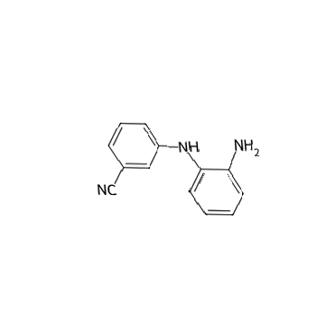 N#Cc1cccc(Nc2ccccc2N)c1